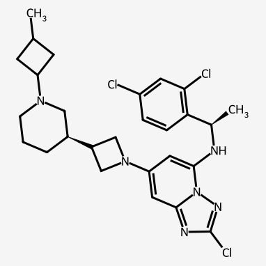 CC1CC(N2CCC[C@H](C3CN(c4cc(N[C@H](C)c5ccc(Cl)cc5Cl)n5nc(Cl)nc5c4)C3)C2)C1